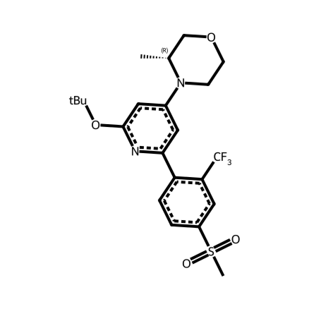 C[C@@H]1COCCN1c1cc(OC(C)(C)C)nc(-c2ccc(S(C)(=O)=O)cc2C(F)(F)F)c1